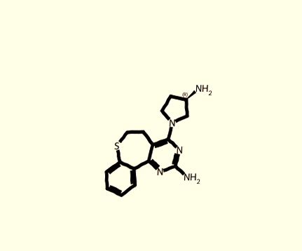 Nc1nc2c(c(N3CC[C@@H](N)C3)n1)CCSc1ccccc1-2